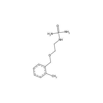 Cc1ccccc1COCCNP(N)(N)=O